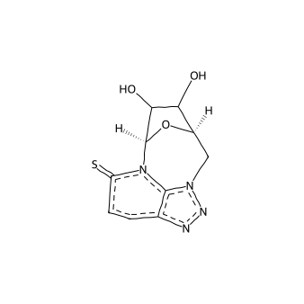 OC1C(O)[C@H]2Cn3nnc4ccc(=S)n(c43)[C@@H]1O2